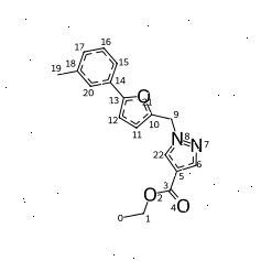 CCOC(=O)c1cnn(Cc2ccc(-c3cccc(C)c3)o2)c1